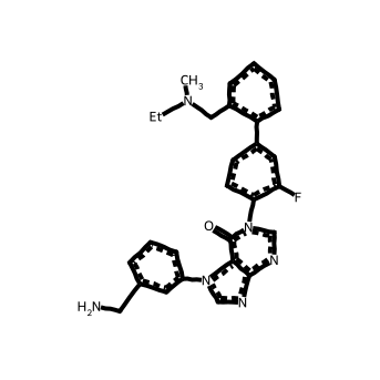 CCN(C)Cc1ccccc1-c1ccc(-n2cnc3ncn(-c4cccc(CN)c4)c3c2=O)c(F)c1